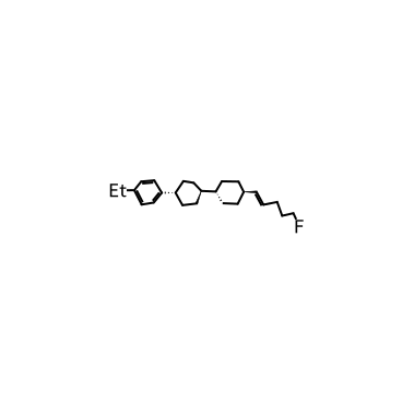 CCc1ccc([C@H]2CC[C@H]([C@H]3CC[C@H](C=CCCCF)CC3)CC2)cc1